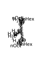 CCCCCCCCC(CCCCCC)C(=O)N(C)CC(=O)OCCCCCC(CCCCCOC(=O)CN(C)C(=O)C(CCCCCC)CCCCCCCC)N(C)CCCN(C)C